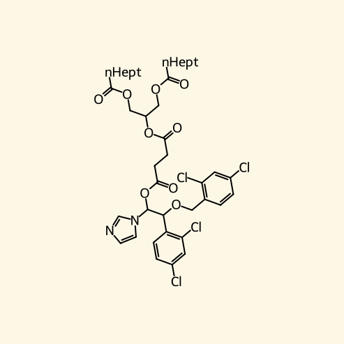 CCCCCCCC(=O)OCC(COC(=O)CCCCCCC)OC(=O)CCC(=O)OC(C(OCc1ccc(Cl)cc1Cl)c1ccc(Cl)cc1Cl)n1ccnc1